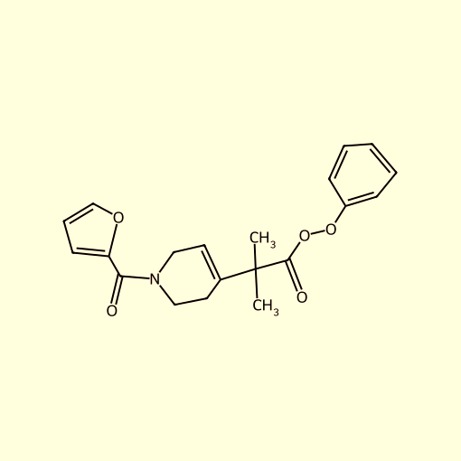 CC(C)(C(=O)OOc1ccccc1)C1=CCN(C(=O)c2ccco2)CC1